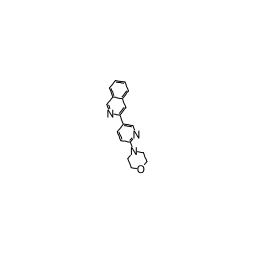 c1ccc2cc(-c3ccc(N4CCOCC4)nc3)ncc2c1